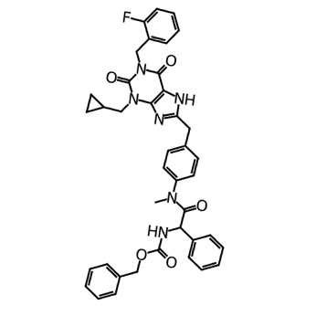 CN(C(=O)C(NC(=O)OCc1ccccc1)c1ccccc1)c1ccc(Cc2nc3c([nH]2)c(=O)n(Cc2ccccc2F)c(=O)n3CC2CC2)cc1